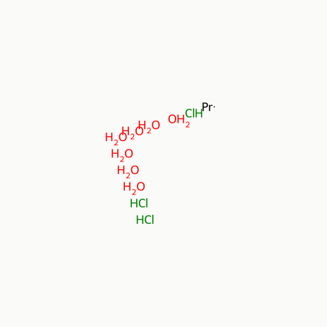 Cl.Cl.Cl.O.O.O.O.O.O.O.[Pr]